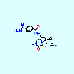 N=C(N)c1ccc(C(=O)NCCCC(CC(=O)O)(C2CC2)N2CCNC(=O)C2=O)cc1